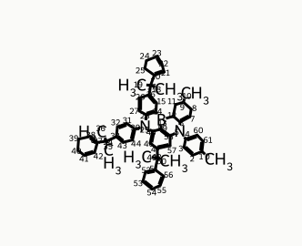 Cc1ccc(N2C3=CCC(C)CC3B3c4cc(C(C)(C)C5=CC=CCC5)ccc4N(c4ccc(C(C)(C)C5=CCCC=C5)cc4)c4cc(C(C)(C)c5ccccc5)cc2c43)cc1